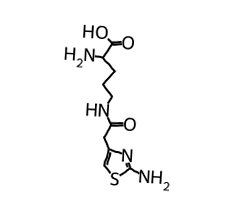 Nc1nc(CC(=O)NCCCC(N)C(=O)O)cs1